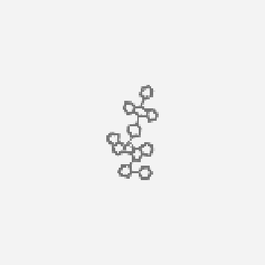 c1ccc(-c2ccccc2-c2cc3ccccc3c3c2c2ccc4ccccc4c2n3-c2ccc(-c3c4ccccc4c(-c4ccccc4)c4ccccc34)cc2)cc1